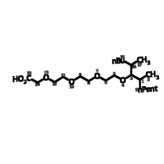 CCCCCC(C)C(OCCOCCOCCOCC(=O)O)C(C)CCCC